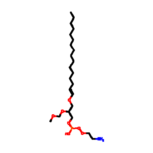 CCCCCCCCCCCCCCC=COCC(COP(O)OOCCN)OCOC